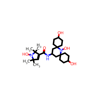 CC1(C)C=C(C(=O)NC2CC3(CCC(O)CC3)N(O)C3(CCC(O)CC3)C2)C(C)(C)N1O